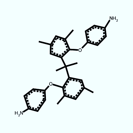 Cc1cc(C)c(Oc2ccc(N)cc2)c(C(C)(C)c2cc(C)cc(C)c2Oc2ccc(N)cc2)c1